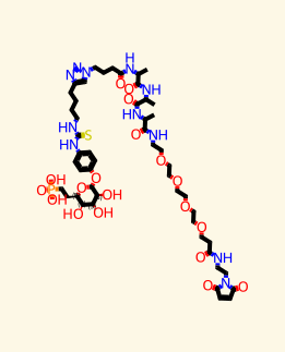 CC(NC(=O)CCCn1cc(CCCCNC(=S)Nc2ccc(OC3O[C@H](CCP(=O)(O)O)[C@@H](O)[C@H](O)[C@@H]3O)cc2)nn1)C(=O)NC(C)C(=O)NC(C)C(=O)NCCOCCOCCOCCOCCC(=O)NCCN1C(=O)C=CC1=O